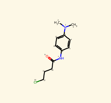 CN(C)c1ccc(NC(=O)CCCCl)cc1